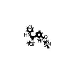 Cc1nnc(NC(=O)c2cccc(C3CC3NC3CCOCC3)c2)s1.Cl.Cl